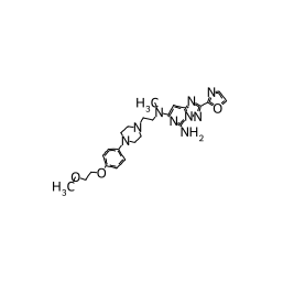 COCCOc1ccc(N2CCN(CCN(C)c3cc4nc(-c5ncco5)nn4c(N)n3)CC2)cc1